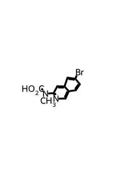 CN(C(=O)O)c1cc2cc(Br)ccc2cn1